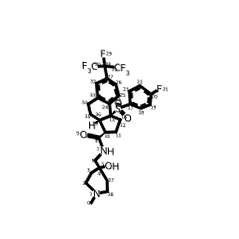 CN1CCC(O)(CNC(=O)[C@@H]2CC[C@@]3(S(=O)(=O)c4ccc(F)cc4)c4ccc(C(F)(C(F)(F)F)C(F)(F)F)cc4CC[C@@H]23)CC1